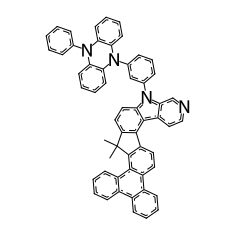 CC1(C)c2ccc3c(c2-c2ccc4c5ccccc5c5ccccc5c4c21)c1ccncc1n3-c1cccc(N2c3ccccc3N(c3ccccc3)c3ccccc32)c1